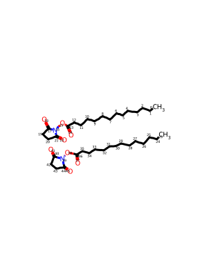 CCCCCCCCCCCCCC(=O)ON1C(=O)CCC1=O.CCCCCCCCCCCCCC(=O)ON1C(=O)CCC1=O